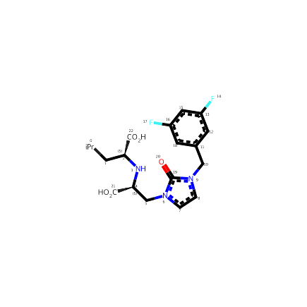 CC(C)C[C@H](N[C@@H](Cn1ccn(Cc2cc(F)cc(F)c2)c1=O)C(=O)O)C(=O)O